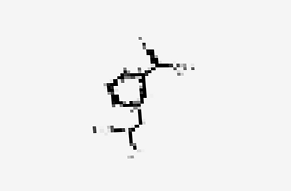 CCC(N)Cc1cccc(C(=O)OC)c1